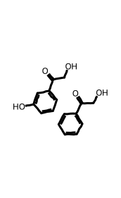 O=C(CO)c1cccc(O)c1.O=C(CO)c1ccccc1